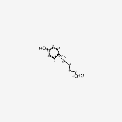 O=CCCCCCc1ccc(O)cc1